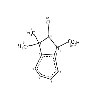 CC1(C)c2ccccc2N(C(=O)O)C1Cl